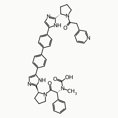 CN(C(=O)O)[C@@H](C(=O)N1CCC[C@H]1c1ncc(-c2ccc(-c3ccc(-c4cnc([C@@H]5CCCN5C(=O)Cc5cccnc5)[nH]4)cc3)cc2)[nH]1)c1ccccc1